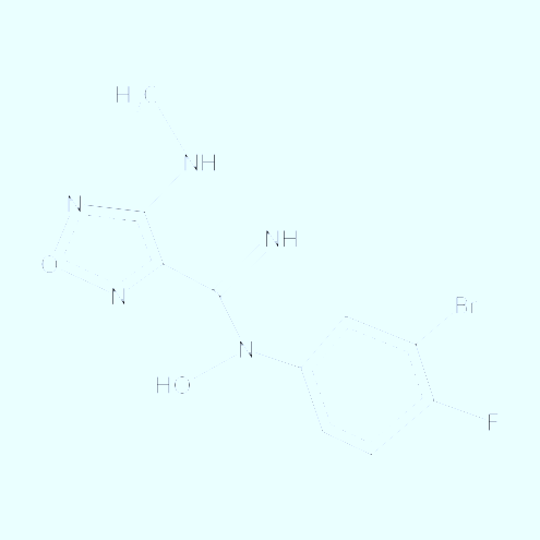 CNc1nonc1C(=N)N(O)c1ccc(F)c(Br)c1